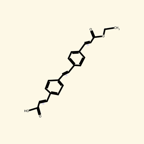 CCOC(=O)/C=C/c1ccc(/C=C/c2ccc(/C=C/C(=O)O)cc2)cc1